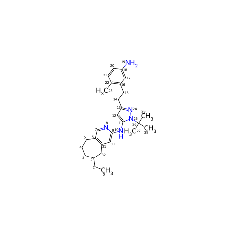 CCC1CCCc2cnc(Nc3cc(CCc4cc(N)ccc4C)nn3C(C)(C)C)cc2C1